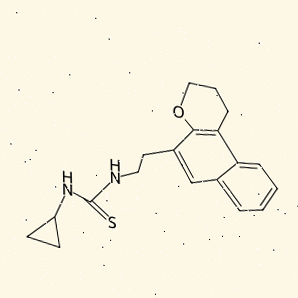 S=C(NCCc1cc2ccccc2c2c1OCCC2)NC1CC1